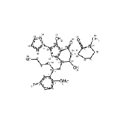 COc1ccc(F)cc1[C@H](CN1c2sc(-n3nccn3)c(C)c2C(=O)N([C@H]2CCCN(C)C2=O)C1O)OCCC#N